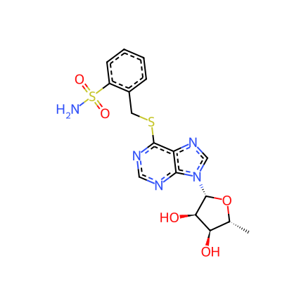 C[C@H]1O[C@@H](n2cnc3c(SCc4ccccc4S(N)(=O)=O)ncnc32)[C@H](O)[C@@H]1O